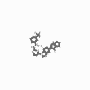 C[C@H](Nc1nccc(-n2cnc3cc(C45CC6CCCC6(C4=O)[N+]5=[N-])ccc32)n1)c1cccc(C(F)(F)F)c1